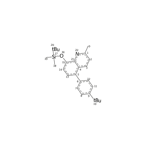 Cc1ccc2c(-c3ccc(C(C)(C)C)cc3)ccc(O[Si](C)(C)C(C)(C)C)c2n1